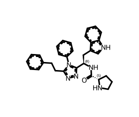 O=C(N[C@H](Cc1c[nH]c2ccccc12)c1nnc(CCc2ccccc2)n1-c1ccccc1)[C@@H]1CCCN1